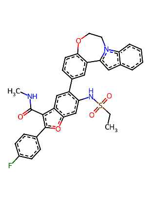 CCS(=O)(=O)Nc1cc2oc(-c3ccc(F)cc3)c(C(=O)NC)c2cc1-c1ccc2c(c1)-c1cc3ccccc3n1CCO2